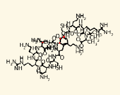 C[C@@H](O)[C@H](NC(=O)[C@H](CCN)NC(=O)[C@H](CCCNC(=N)N)NC(=O)[C@H](CC(N)=O)NC(=O)[C@H](CS)NC(=O)[C@@H](N)Cc1ccc(O)cc1)C(=O)N[C@H](CCN)C(=O)N[C@@H](CCCCN)C(=O)N[C@@H](CS)C(=O)N[C@@H](CCN)C(=O)N[C@@H](CCCNC(=N)N)C(=O)N([C@@H](C)C(=O)O)C(C)(C)C